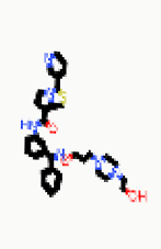 O=C(Nc1cccc(C(=NOCCCN2CCN(CCO)CC2)c2ccccc2)c1)c1ccn2c1CSC2c1cccnc1